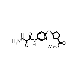 COC(=O)C1CCC(Oc2ccc(NC(=O)C(=O)NN)cn2)C1